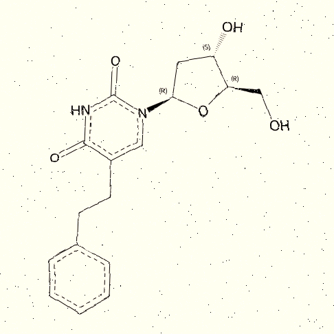 O=c1[nH]c(=O)n([C@H]2C[C@H](O)[C@@H](CO)O2)cc1CCc1ccccc1